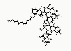 CCCCCC/C=C\CCCOc1cccc(CN(C(C)=O)C2C(OC3C(CO)OC(OC4C(CO)OC(OC5C(COC)OC(O)C(NC(C)=O)C5O)C(NC(C)=O)C4O)C(NC(C)=O)C3O)OC(CO)C(O)C2O)c1